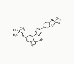 CC(C)(O)COc1cc(-c2ccc(N3CCC(N=S(C)(C)=O)CC3)nc2)c2c(C#N)cnn2c1